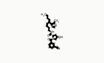 C=CC/C=C(\C=C/CCNC(=O)[C@@H]1C[C@@H](O)CN1C(=O)c1cccc(C#N)c1)c1scnc1C